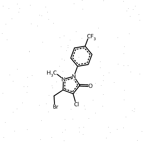 Cn1c(CBr)c(Cl)c(=O)n1-c1ccc(C(F)(F)F)cc1